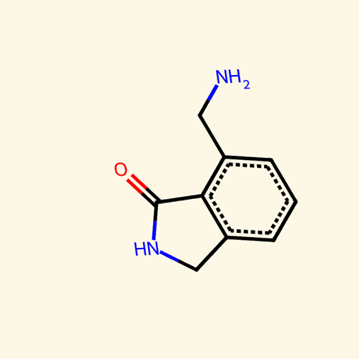 NCc1cccc2c1C(=O)NC2